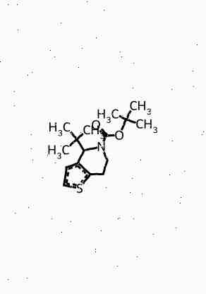 CC(C)(C)OC(=O)N1CCc2sccc2C1C(C)(C)C